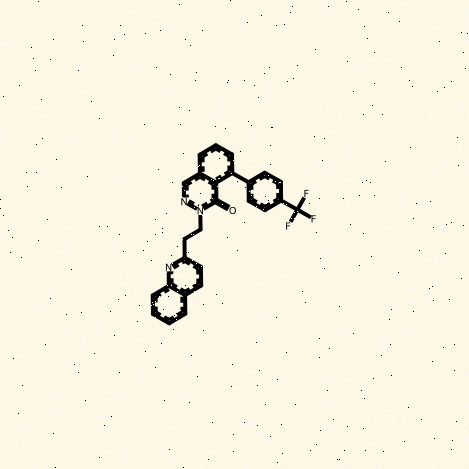 O=c1c2c(-c3ccc(C(F)(F)F)cc3)cccc2cnn1CCc1ccc2ccccc2n1